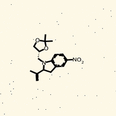 C=C(C)C1Cc2cc([N+](=O)[O-])ccc2N1C[C@@H]1COC(C)(C)O1